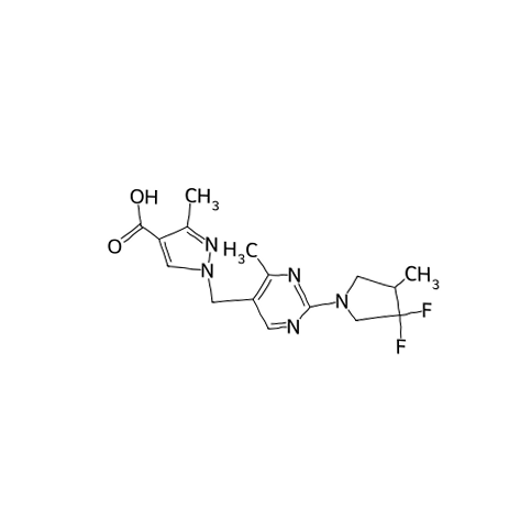 Cc1nc(N2CC(C)C(F)(F)C2)ncc1Cn1cc(C(=O)O)c(C)n1